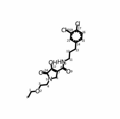 CCOCCN1CC(C(=O)NCCCc2ccc(Cl)c(Cl)c2)=C(O)C1=O